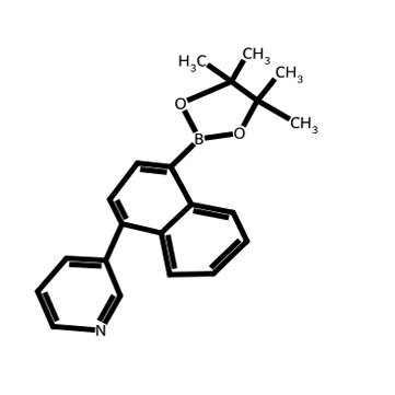 CC1(C)OB(c2ccc(-c3cccnc3)c3ccccc23)OC1(C)C